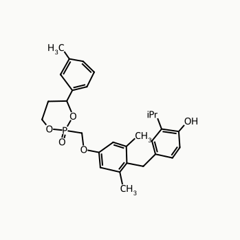 Cc1cccc(C2CCOP(=O)(COc3cc(C)c(Cc4ccc(O)c(C(C)C)c4)c(C)c3)O2)c1